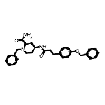 NC(=O)C1CC(NC(=O)[CH]Cc2ccc(OCc3ccccc3)cc2)CCN1Cc1ccccc1